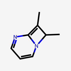 CC1=C2N=CC=CN2C1C